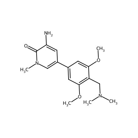 COc1cc(-c2cc(N)c(=O)n(C)c2)cc(OC)c1CN(C)C